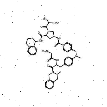 CNCC(=O)NC(Cc1ccc(N(C)Cc2ccc(C(=O)N[C@H]3CC(C(=O)NC4CCCc5ccccc54)N(C(=O)C(NC)C(C)(C)C)C3)cc2)cc1)C(=O)N1Cc2ccccc2CC1C